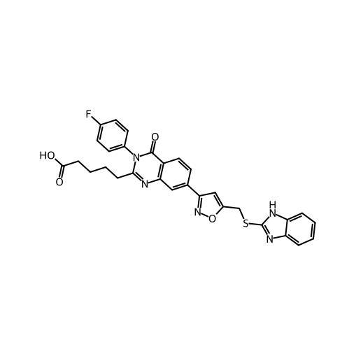 O=C(O)CCCCc1nc2cc(-c3cc(CSc4nc5ccccc5[nH]4)on3)ccc2c(=O)n1-c1ccc(F)cc1